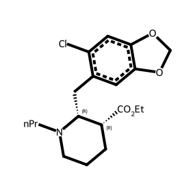 CCCN1CCC[C@@H](C(=O)OCC)[C@H]1Cc1cc2c(cc1Cl)OCO2